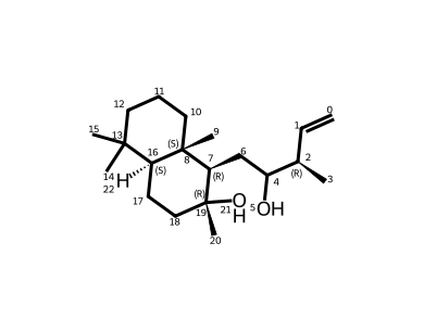 C=C[C@@H](C)C(O)C[C@@H]1[C@@]2(C)CCCC(C)(C)[C@@H]2CC[C@@]1(C)O